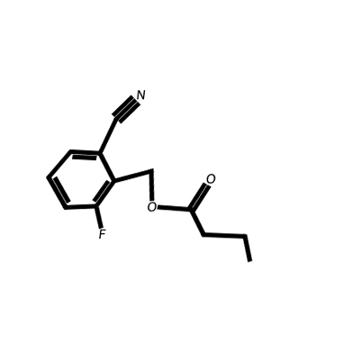 CCCC(=O)OCc1c(F)cccc1C#N